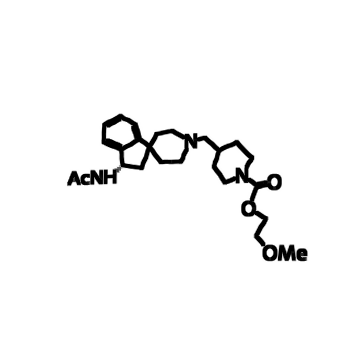 COCCOC(=O)N1CCC(CN2CCC3(CC2)C[C@H](NC(C)=O)c2ccccc23)CC1